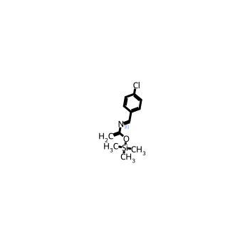 C=C(/N=C/c1ccc(Cl)cc1)O[Si](C)(C)C